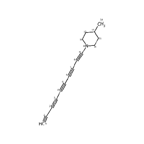 C#CC#CC#CC#CC#CN1CCC(C)CC1